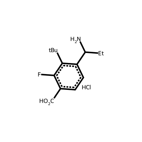 CCC(N)c1ccc(C(=O)O)c(F)c1C(C)(C)C.Cl